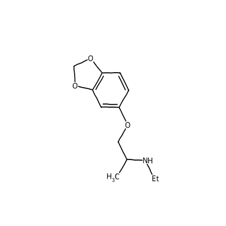 CCNC(C)COc1ccc2c(c1)OCO2